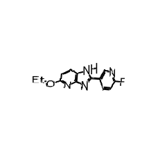 CCOc1ccc2[nH]c(-c3ccc(F)nc3)nc2n1